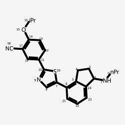 CCCNC1CCc2c(-c3cnc(-c4ccc(OC(C)C)c(C#N)c4)s3)cccc21